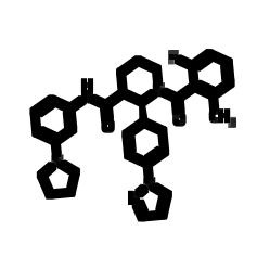 Cc1cccc(F)c1C(=O)N1CCCC(C(=O)Nc2cccc(N3CCCC3)c2)[C@@H]1C1C=CC(n2cccn2)=CC1